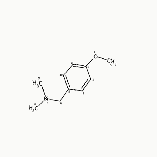 COc1ccc([CH2][Bi]([CH3])[CH3])cc1